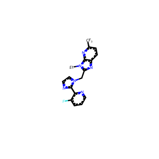 CCn1c(Cn2ccnc2-c2ncccc2F)nc2ccc(C(F)(F)F)nc21